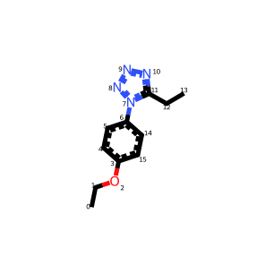 CCOc1ccc(-n2nnnc2CC)cc1